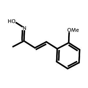 COc1ccccc1C=CC(C)=NO